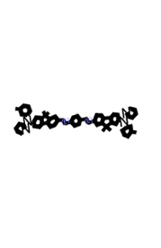 Cc1cccc(N(c2ccc3c(c2)C(C)(C)c2cc(/C=C/c4ccc(/C=C/c5ccc6c(c5)C(C)(C)c5cc(N(c7cccc(C)c7)c7ccccn7)ccc5-6)cc4)ccc2-3)c2ccccn2)c1